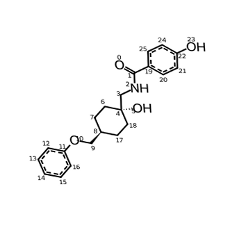 O=C(NC[C@]1(O)CC[C@H](COc2ccccc2)CC1)c1ccc(O)cc1